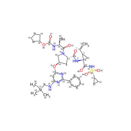 C=CC1C[C@]1(NC(=O)[C@@H]1C[C@@H](Oc2cc(NC[Si](C)(C)C)nc(-c3ccccc3)n2)CN1C(=O)[C@@H](NC(=O)OC1CCCC1)C(C)(C)C)C(=O)NS(=O)(=O)C1CC1